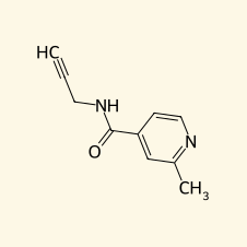 C#CCNC(=O)c1ccnc(C)c1